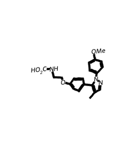 COc1ccc(-n2ncc(C)c2-c2ccc(OCCNC(=O)O)cc2)cc1